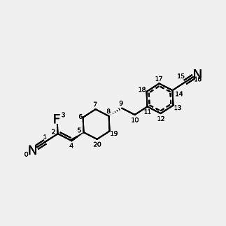 N#CC(F)=C[C@H]1CC[C@H](CCc2ccc(C#N)cc2)CC1